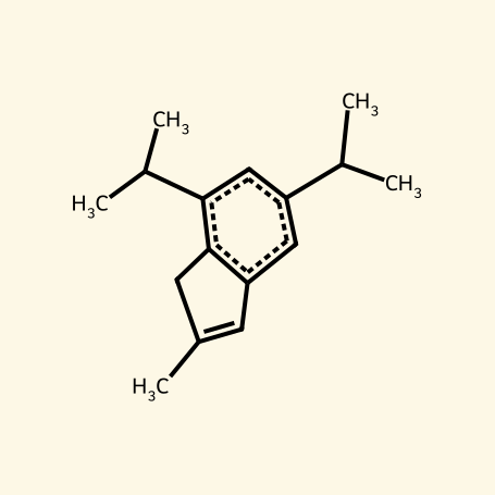 CC1=Cc2cc(C(C)C)cc(C(C)C)c2C1